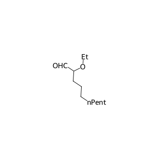 CCCCCCCCC(C=O)OCC